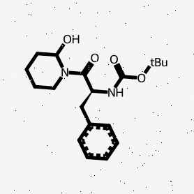 CC(C)(C)OC(=O)N[C@@H](Cc1ccccc1)C(=O)N1CCCCC1O